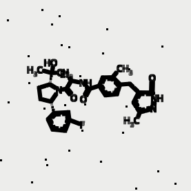 CCC(NC(=O)c1ccc(Cc2cc(C)n[nH]c2=O)c(C)c1)C(=O)N1[C@H](c2cccc(F)c2)CC[C@@H]1C(C)(C)O